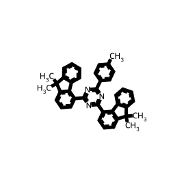 Cc1ccc(-c2nc(-c3cccc4c3-c3ccccc3C4(C)C)nc(-c3cccc4c3-c3ccccc3C4(C)C)n2)cc1